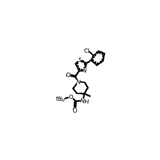 CC1(NC(=O)OC(C)(C)C)CCN(C(=O)c2csc(-c3ccccc3Cl)n2)CC1